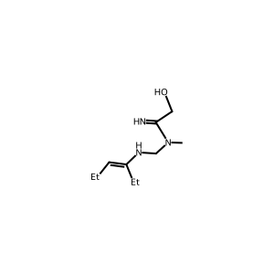 CC/C=C(\CC)NCN(C)C(=N)CO